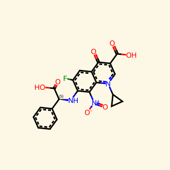 O=C(O)c1cn(C2CC2)c2c([N+](=O)[O-])c(N[C@H](C(=O)O)c3ccccc3)c(F)cc2c1=O